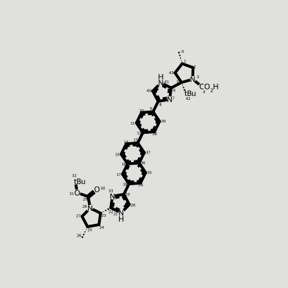 C[C@@H]1CN(C(=O)O)[C@](c2nc(-c3ccc(-c4ccc5cc(-c6c[nH]c([C@@H]7C[C@H](C)CN7C(=O)OC(C)(C)C)n6)ccc5c4)cc3)c[nH]2)(C(C)(C)C)C1